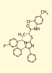 Cc1ccc(NC(=O)C(C)Sc2nc(-c3ccccc3)c(-c3ccccc3)n2Cc2ccc(F)cc2)c(Cl)c1